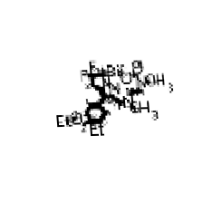 CCOCC1(CC)CC=C(c2c(CN(C)CCN(C)C(=O)OC(C)(C)C)nn3c2CC(F)(F)C3)CC1